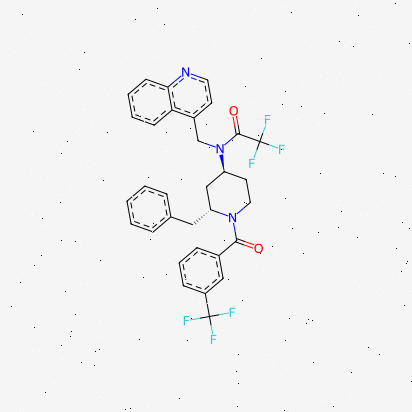 O=C(c1cccc(C(F)(F)F)c1)N1CC[C@H](N(Cc2ccnc3ccccc23)C(=O)C(F)(F)F)C[C@H]1Cc1ccccc1